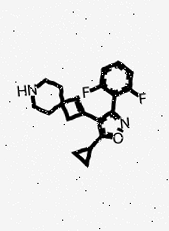 Fc1cccc(F)c1-c1noc(C2CC2)c1C1=CC2(CCNCC2)C1